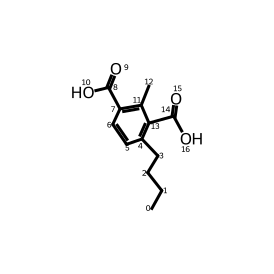 CCCCc1ccc(C(=O)O)c(C)c1C(=O)O